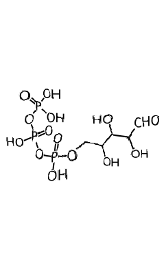 O=CC(O)C(O)C(O)COP(=O)(O)OP(=O)(O)OP(=O)(O)O